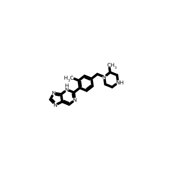 Cc1cc(CN2CCNCC2C)ccc1-c1ncc2ncnc-2[nH]1